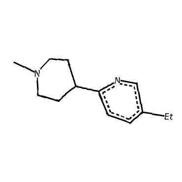 CCc1ccc(C2CCN(C)CC2)nc1